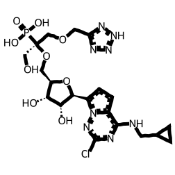 O=P(O)(O)[C@@](CO)(COCc1nn[nH]n1)OC[C@H]1O[C@@H](c2ccc3c(NCC4CC4)nc(Cl)nn23)[C@H](O)[C@@H]1O